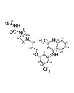 Cc1cc(Nc2cc(OCCCN3CC4CC3CN4C(=O)NC(C)(C)C)cc(C(F)(F)F)c2)c2ccccc2n1